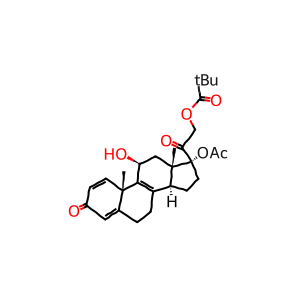 CC(=O)O[C@]1(C(=O)COC(=O)C(C)(C)C)CC[C@H]2C3=C([C@@H](O)C[C@@]21C)[C@@]1(C)C=CC(=O)C=C1CC3